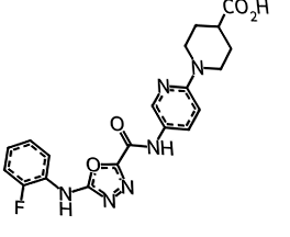 O=C(Nc1ccc(N2CCC(C(=O)O)CC2)nc1)c1nnc(Nc2ccccc2F)o1